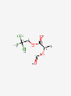 CC(O[C]=O)C(=O)OCC(Cl)(Cl)Cl